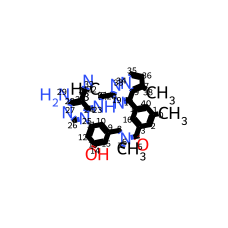 Cc1cc(C(=O)N(C)Cc2cccc(O)c2)cc(-c2nc([C@H](C)Nc3ncnc(N)c3C#N)nn3ccc(C)c23)c1